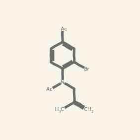 C=C(C)CN(C(C)=O)c1ccc(C(C)=O)cc1Br